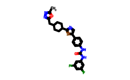 Cc1nnc(CC2CCC(c3ncc(-c4ccc(NC(=O)Nc5cc(F)cc(F)c5)cc4)s3)CC2)o1